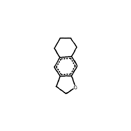 c1c2c(cc3c1CCO3)CCCC2